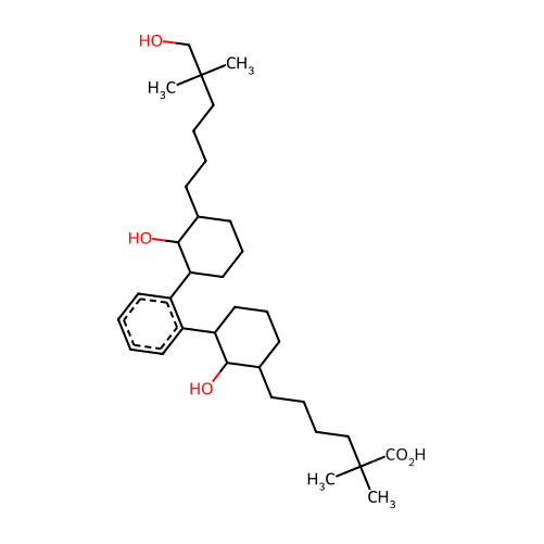 CC(C)(CO)CCCCC1CCCC(c2ccccc2C2CCCC(CCCCC(C)(C)C(=O)O)C2O)C1O